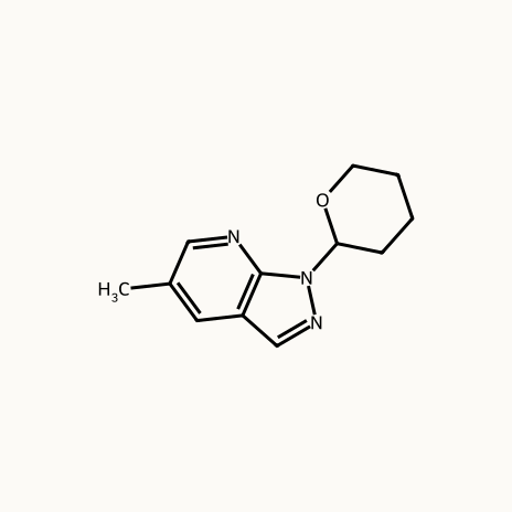 Cc1cnc2c(cnn2C2CCCCO2)c1